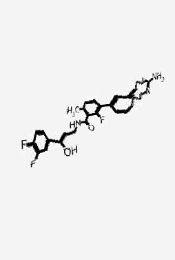 Cc1ccc(-c2ccn3nc(N)nc3c2)c(F)c1C(=O)NCCC(O)c1ccc(F)c(F)c1